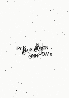 CCCCOc1nc(N)c2cc(C#N)n(Cc3ccc(CN4CCN(C(=O)CCCCCN5C(=O)CC(C(C)C)C5=O)C(C)C4)cc3OC)c2n1